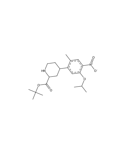 Cc1cc([N+](=O)[O-])c(OC(C)C)cc1C1CCNC(C(=O)OC(C)(C)C)C1